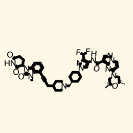 C[C@H]1CN(c2ccn3ncc(C(=O)Nc4cn([C@H]5CC[C@H](CN6CCC(CC#Cc7cccc8c7n(C)c(=O)n8C7CCC(=O)NC7=O)CC6)CC5)nc4C(F)F)c3n2)C[C@H](C)O1